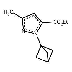 CCOC(=O)c1cc(C)nn1C12CC(C1)C2